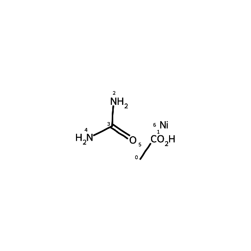 CC(=O)O.NC(N)=O.[Ni]